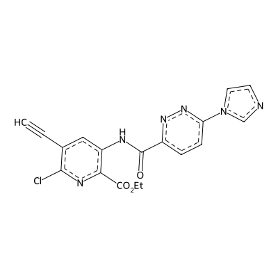 C#Cc1cc(NC(=O)c2ccc(-n3ccnc3)nn2)c(C(=O)OCC)nc1Cl